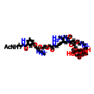 CC(=O)NCCNC(=O)c1cccc(OCC(N=[N+]=[N-])OCCOCC(=O)NCC#Cc2cn(C3CC(OCN=[N+]=[N-])[C@H](COP(=O)(O)OP(=O)(O)OP(=O)(O)O)O3)c(=O)nc2N)c1